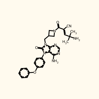 CC(C)(N)C=C(C#N)C(=O)N1CC(Cn2c(=O)n(-c3ccc(Oc4ccccc4)cc3)c3c(N)ncnc32)C1